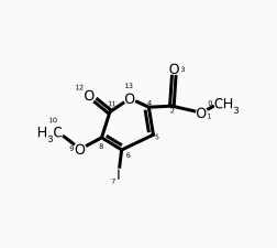 COC(=O)c1cc(I)c(OC)c(=O)o1